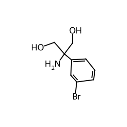 NC(CO)(CO)c1cccc(Br)c1